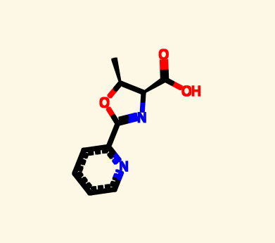 C[C@@H]1OC(c2ccccn2)=N[C@@H]1C(=O)O